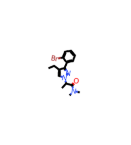 CCc1cn(C(C)C(=O)N(C)C)nc1-c1ccccc1Br